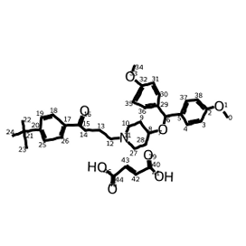 COc1ccc(C(OC2CCN(CCCC(=O)c3ccc(C(C)(C)C)cc3)CC2)c2ccc(OC)cc2)cc1.O=C(O)/C=C/C(=O)O